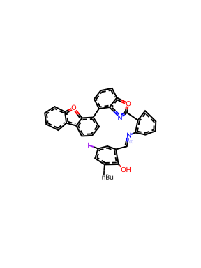 CCCCc1cc(I)cc(/C=N/c2ccccc2-c2nc3c(-c4cccc5c4oc4ccccc45)cccc3o2)c1O